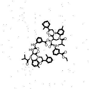 CCOC(=O)c1cccc(NC(=O)N(OC(=O)c2cccc(NC(=O)NC3CN(C(=O)C(C)C)c4ccc(C)cc4N(CC(=O)c4ccccc4C)C3=O)c2)C2CN(C(=O)C(C)C)c3ccc(C)cc3N(CC(=O)c3ccccc3C)C2=O)c1